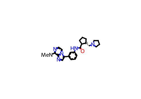 CNc1nccn2c(-c3cccc(NC(=O)C4CCC[C@@H]4CN4CCCC4)c3)cnc12